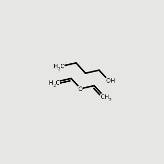 C=COC=C.CCCCO